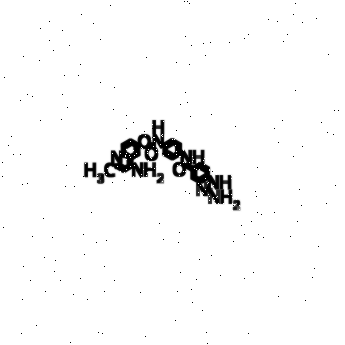 Cc1cc(N)c2cc(OC(=O)Nc3ccc(NC(=O)c4ccc5[nH]c(N)nc5c4)cc3)ccc2n1